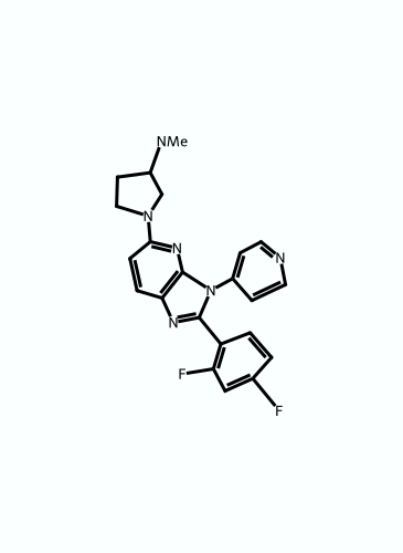 CNC1CCN(c2ccc3nc(-c4ccc(F)cc4F)n(-c4ccncc4)c3n2)C1